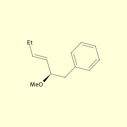 CC/C=C/[C@@H](Cc1ccccc1)OC